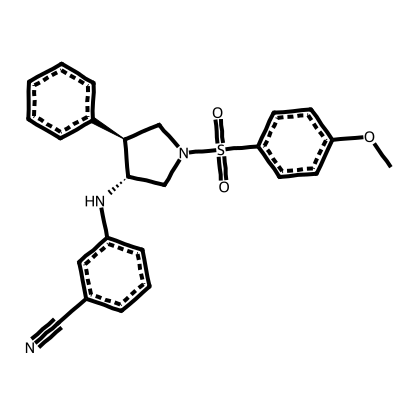 COc1ccc(S(=O)(=O)N2C[C@H](Nc3cccc(C#N)c3)[C@@H](c3ccccc3)C2)cc1